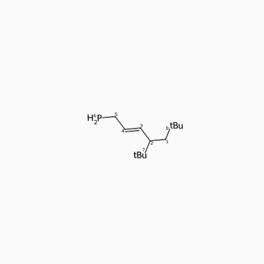 CC(C)(C)CC(C=CCP)C(C)(C)C